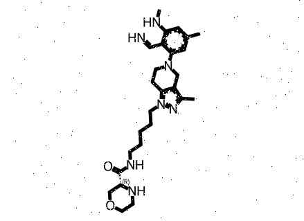 CNc1cc(C)cc(N2CCc3c(c(C)nn3CCCCCNC(=O)[C@H]3COCCN3)C2)c1C=N